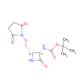 CC(C)(C)OC(=O)N[C@@H]1C(=O)N[C@@H]1CON1C(=O)CCC1=O